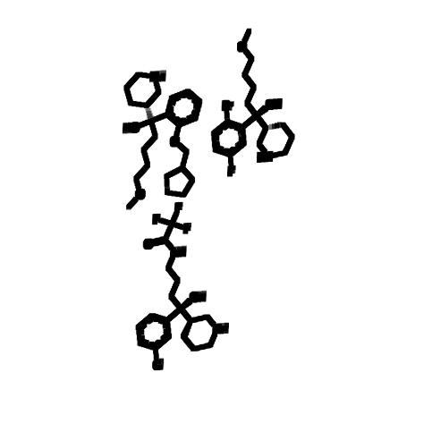 COCCCCC(O)(c1ccccc1OCC1CCCC1)[C@@H]1CCCNC1.COCCCC[C@@](O)(c1cc(F)ccc1Br)[C@@H]1CCCNC1.O=C(NCCC[C@@](O)(c1cccc(Cl)c1)[C@@H]1CCCNC1)C(F)(F)F